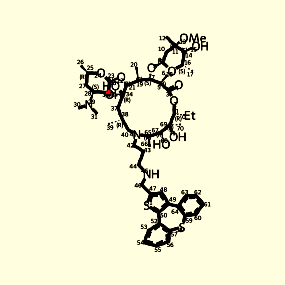 CC[C@H]1OC(=O)[C@H](C)[C@@H](O[C@H]2C[C@@](C)(OC)[C@@H](O)[C@H](C)O2)[C@H](C)[C@@H](O[C@@H]2O[C@H](C)C[C@H](N(C)C)[C@H]2O)[C@](C)(O)C[C@@H](C)CN(CCCNCc2cc3c(s2)-c2ccccc2Sc2ccccc2-3)[C@H](C)[C@@H](O)[C@]1(C)O